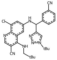 CC(C)(C)CNc1c(C#N)cnc2c(Cl)cc(NC(c3cccc(C#N)c3)c3cn(C(C)(C)C)nn3)cc12